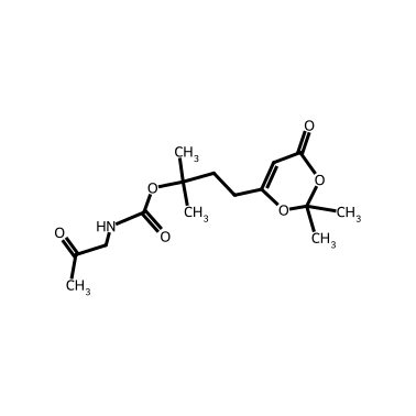 CC(=O)CNC(=O)OC(C)(C)CCC1=CC(=O)OC(C)(C)O1